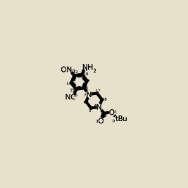 CC(C)(C)OC(=O)N1CCN(c2cc(N)c(N=O)cc2C#N)CC1